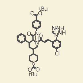 CC(C)(C)OC(=O)c1ccc(NC(=O)C2C(c3ccccc3)CC(C3CCN(C(=O)OC(C)(C)C)CC3)CN2C(=O)/C=C/c2cc(Cl)ccc2N2C=NNN2)cc1